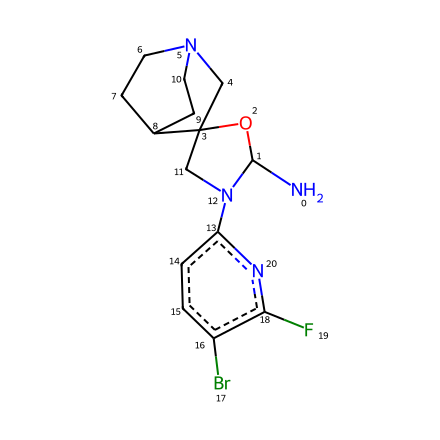 NC1OC2(CN3CCC2CC3)CN1c1ccc(Br)c(F)n1